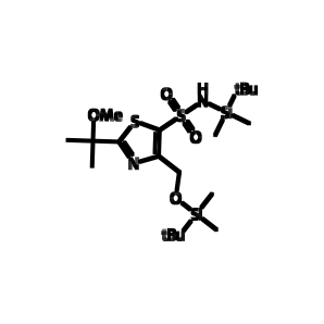 COC(C)(C)c1nc(CO[Si](C)(C)C(C)(C)C)c(S(=O)(=O)N[Si](C)(C)C(C)(C)C)s1